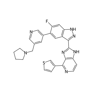 Fc1cc2[nH]nc(-c3nc4c(-c5ccsc5)nccc4[nH]3)c2cc1-c1cncc(CN2CCCC2)c1